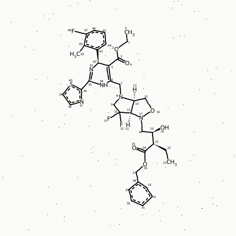 CCOC(=O)C1=C(CN2CC(F)(F)[C@H]3[C@@H]2CON3C[C@@H](O)[C@@H](CC)C(=O)OCc2ccccc2)NC(c2nccs2)=N[C@H]1c1cccc(F)c1C